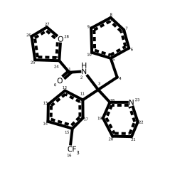 O=C(NC(Cc1ccccc1)(c1cccc(C(F)(F)F)c1)c1ccccn1)c1ccco1